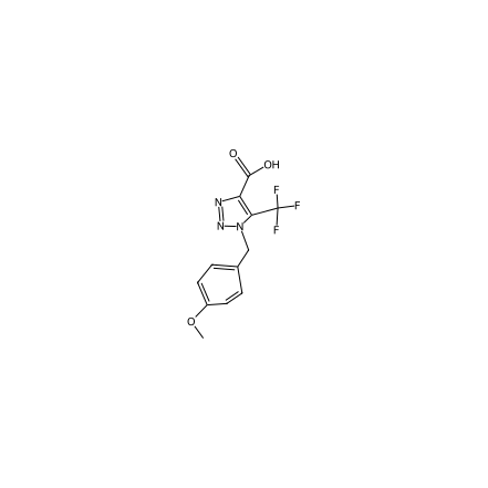 COc1ccc(Cn2nnc(C(=O)O)c2C(F)(F)F)cc1